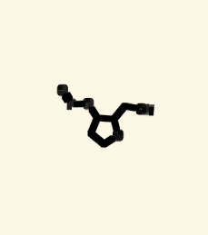 O=POC1CCOC1CO